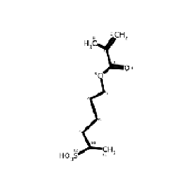 C=C(C)C(=O)OCCCCC(C)S(=O)(=O)O